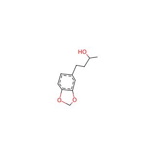 CC(O)CCc1ccc2c(c1)OCO2